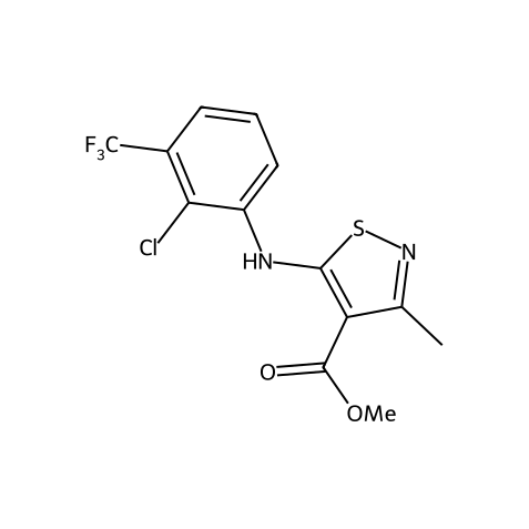 COC(=O)c1c(C)nsc1Nc1cccc(C(F)(F)F)c1Cl